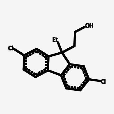 CCC1(CCO)c2cc(Cl)ccc2-c2ccc(Cl)cc21